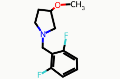 COC1CCN(Cc2c(F)cccc2F)C1